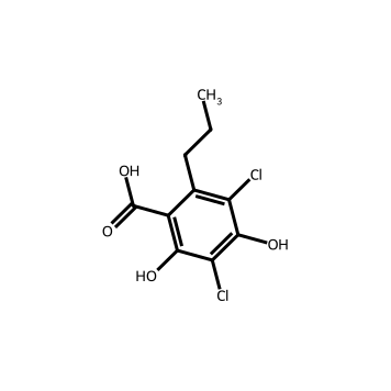 CCCc1c(Cl)c(O)c(Cl)c(O)c1C(=O)O